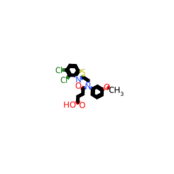 COc1cccc(N(Cc2nc3c(Cl)c(Cl)ccc3s2)C(=O)CCC(=O)O)c1